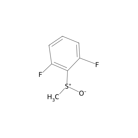 C[S+]([O-])c1c(F)cccc1F